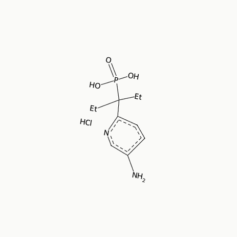 CCC(CC)(c1ccc(N)cn1)P(=O)(O)O.Cl